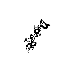 CC(=O)c1ccc(-n2cnc3cc(Nc4ccc(C)nn4)ccc32)nc1N1CC[C@@H]2NCC[C@H]21